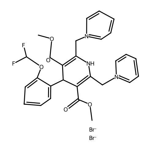 COC(=O)C1=C(C[n+]2ccccc2)NC(C[n+]2ccccc2)=C(C(=O)OC)C1c1ccccc1OC(F)F.[Br-].[Br-]